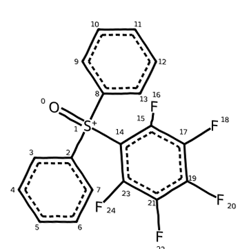 O=[S+](c1ccccc1)(c1ccccc1)c1c(F)c(F)c(F)c(F)c1F